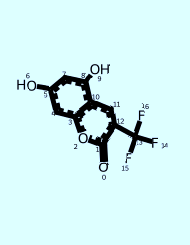 O=c1oc2cc(O)cc(O)c2cc1C(F)(F)F